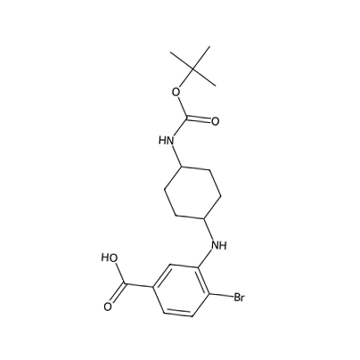 CC(C)(C)OC(=O)NC1CCC(Nc2cc(C(=O)O)ccc2Br)CC1